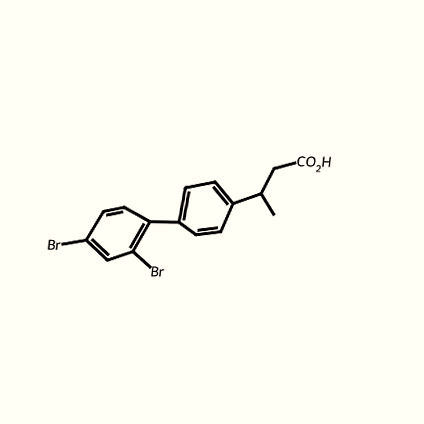 CC(CC(=O)O)c1ccc(-c2ccc(Br)cc2Br)cc1